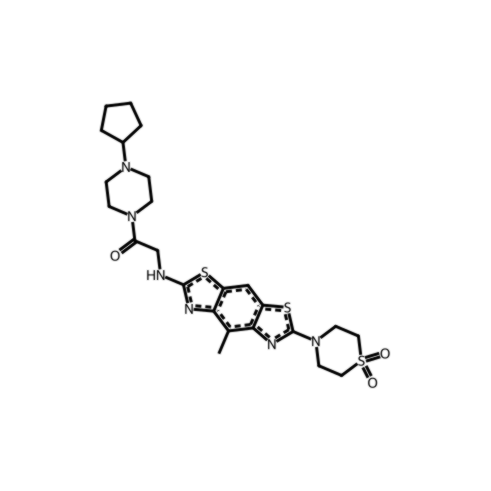 Cc1c2nc(NCC(=O)N3CCN(C4CCCC4)CC3)sc2cc2sc(N3CCS(=O)(=O)CC3)nc12